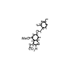 COc1cc(OCc2ccc(C)nc2C)cc2scc(CC(=O)O)c12